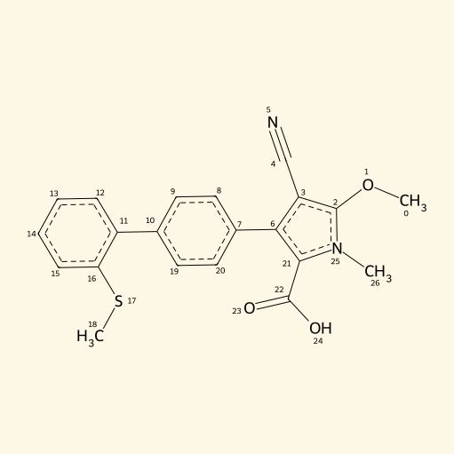 COc1c(C#N)c(-c2ccc(-c3ccccc3SC)cc2)c(C(=O)O)n1C